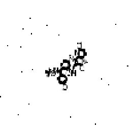 COc1ccc(/C(=N\OC(C)(C)C)C2CCC(N(C)c3c(C#N)c(=O)n(C)c4ccc(Cl)nc34)CC2)c(O)c1